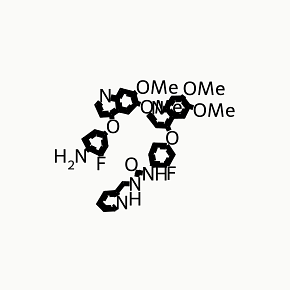 COc1cc2nccc(Oc3ccc(N)c(F)c3)c2cc1OC.COc1cc2nccc(Oc3ccc(NC(=O)NCc4ccccn4)c(F)c3)c2cc1OC